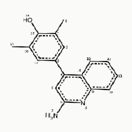 Cc1cc(-c2cc(N)nc3ccccc23)cc(C)c1O